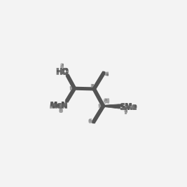 CNC(O)C(C)[C@H](C)SC